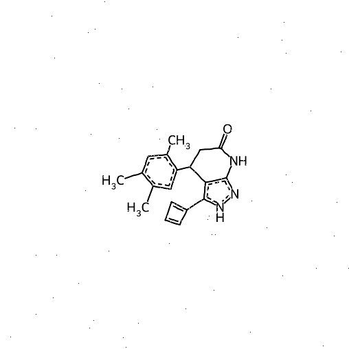 Cc1cc(C)c(C2CC(=O)Nc3n[nH]c(C4=CC=C4)c32)cc1C